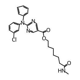 CNC(=O)CCCCCCOC(=O)c1cnc(N(c2ccccc2)c2cccc(Cl)c2)nc1